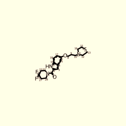 O=C(c1cc2cc(OCCCN3CCSCC3)ccc2[nH]1)N1CCC(F)(F)CC1